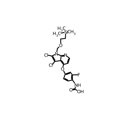 C[Si](C)(C)CCOCn1c(Cl)c(Cl)c2c(Oc3ccc(NC(=O)O)c(F)c3)ccnc21